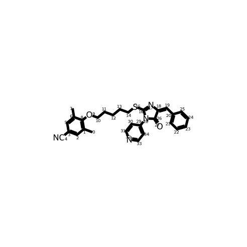 Cc1cc(C#N)cc(C)c1OCCCCCSC1=NC(=Cc2ccccc2)C(=O)N1c1ccncc1